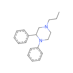 CCCN1CCN(c2ccccc2)C(c2ccccc2)C1